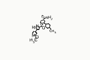 CCC1CCC(C2CC(C(N)=O)CCN2C(=O)c2cc(-c3ccnc(OC)c3)[nH]n2)CC1